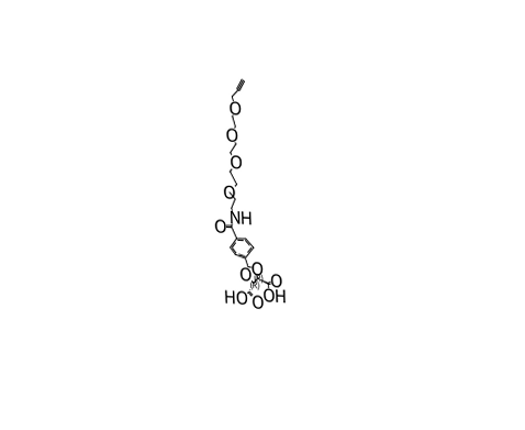 C#CCOCCOCCOCCOCCNC(=O)c1ccc(C2O[C@@H](C(=O)O)[C@H](C(=O)O)O2)cc1